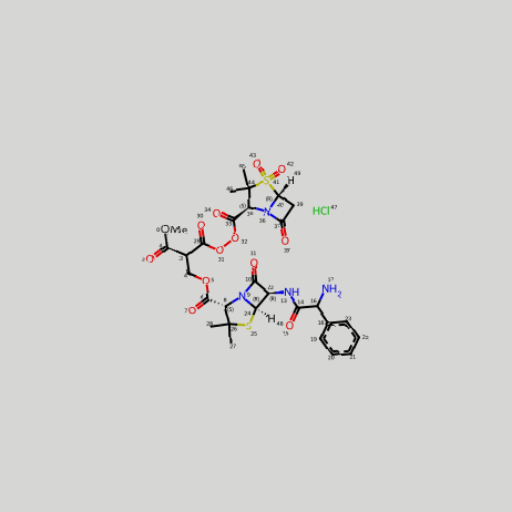 COC(=O)C(COC(=O)[C@@H]1N2C(=O)[C@@H](NC(=O)C(N)c3ccccc3)[C@H]2SC1(C)C)C(=O)OOC(=O)[C@@H]1N2C(=O)C[C@H]2S(=O)(=O)C1(C)C.Cl